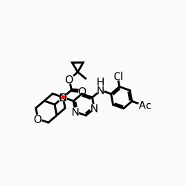 CC(=O)c1ccc(Nc2cc(OC3C4COCC3CN(C(=O)OC3(C)CC3)C4)ncn2)c(Cl)c1